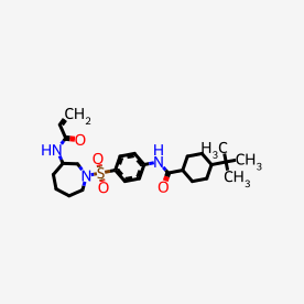 C=CC(=O)NC1CCCCN(S(=O)(=O)c2ccc(NC(=O)C3CCC(C(C)(C)C)CC3)cc2)C1